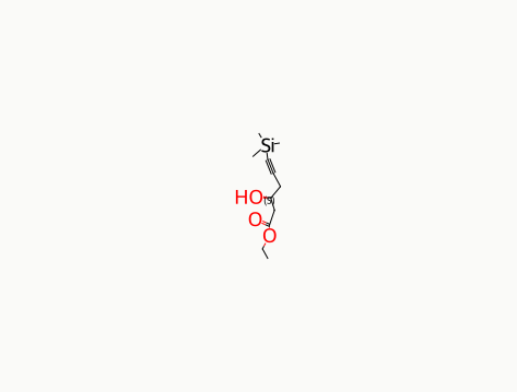 CCOC(=O)C[C@@H](O)CC#C[Si](C)(C)C